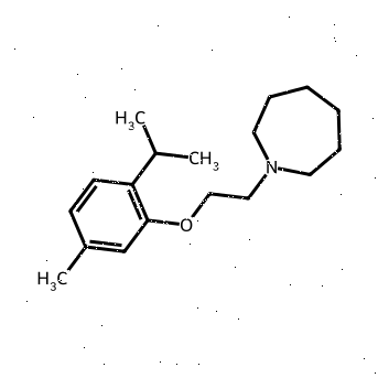 Cc1ccc(C(C)C)c(OCCN2CCCCCC2)c1